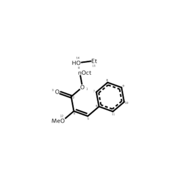 CCCCCCCCOC(=O)C(=Cc1ccccc1)OC.CCO